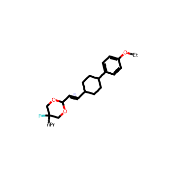 CCCC1(F)COC(/C=C/C2CCC(c3ccc(OCC)cc3)CC2)OC1